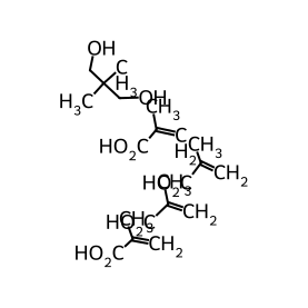 C=C(C)C(=O)O.C=C(C)C(=O)O.C=C(C)C(=O)O.C=C(C)C(=O)O.CC(C)(CO)CO